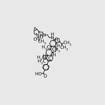 C=C(C)[C@@H]1CC[C@]2(NCCNC[C@@H]3C4CC4CN3S(C)(=O)=O)CC[C@]3(C)[C@H](CC[C@@H]4[C@@]5(C)CC=C(c6ccc(C(=O)O)cc6)C(C)(C)[C@@H]5CC[C@]43C)[C@@H]12